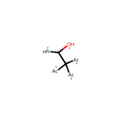 CCCC(O)C(C(C)=O)(C(C)=O)C(C)=O